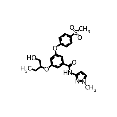 CCC(CO)Oc1cc(Oc2ccc(S(C)(=O)=O)cc2)cc(C(=O)Nc2ccn(C)n2)c1